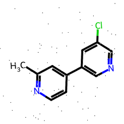 Cc1cc(-c2cncc(Cl)c2)ccn1